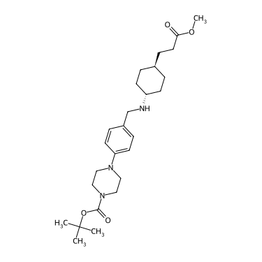 COC(=O)CC[C@H]1CC[C@H](NCc2ccc(N3CCN(C(=O)OC(C)(C)C)CC3)cc2)CC1